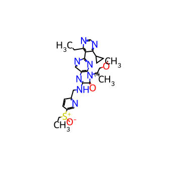 CCc1ncnc(C2CC2)c1-c1ncc2nc(NCc3ccc([S+]([O-])CC)cn3)c(=O)n([C@H](C)COC)c2n1